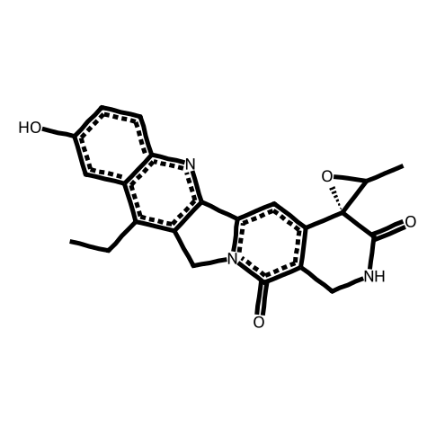 CCc1c2c(nc3ccc(O)cc13)-c1cc3c(c(=O)n1C2)CNC(=O)[C@@]31OC1C